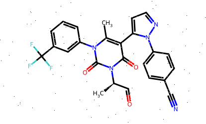 Cc1c(-c2ccnn2-c2ccc(C#N)cc2)c(=O)n([C@H](C)C=O)c(=O)n1-c1cccc(C(F)(F)F)c1